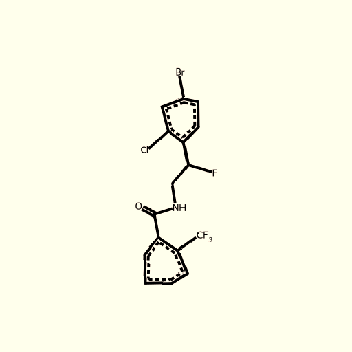 O=C(NCC(F)c1ccc(Br)cc1Cl)c1ccccc1C(F)(F)F